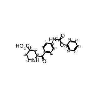 O=C(Nc1ccc(C(=O)C2CC(C(=O)O)CCN2)cc1)Oc1ccccc1